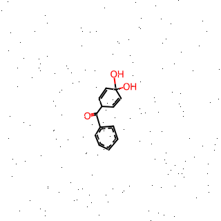 O=C(c1ccccc1)C1C=CC(O)(O)C=C1